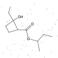 CCC(C)OC(=O)C1CCC1(O)CC